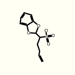 C=CCCC(C1Oc2ccccc2O1)S(=O)(=O)Cl